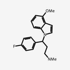 CNCCC(c1ccc(F)cc1)n1ccc2c(OC)cccc21